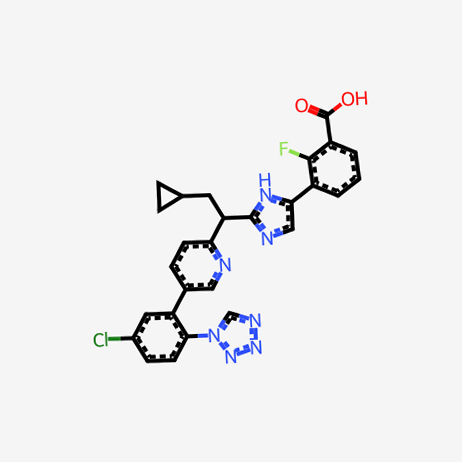 O=C(O)c1cccc(-c2cnc(C(CC3CC3)c3ccc(-c4cc(Cl)ccc4-n4cnnn4)cn3)[nH]2)c1F